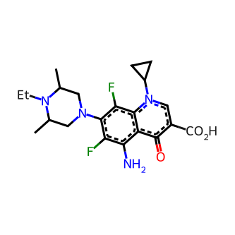 CCN1C(C)CN(c2c(F)c(N)c3c(=O)c(C(=O)O)cn(C4CC4)c3c2F)CC1C